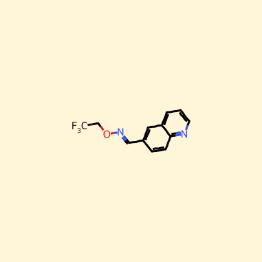 FC(F)(F)CON=Cc1ccc2ncccc2c1